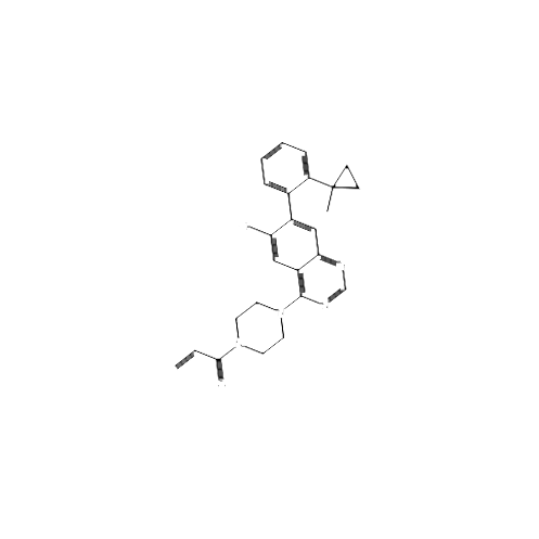 C=CC(=O)N1CCN(c2ncnc3cc(-c4ccccc4C4(C)CC4)c(Cl)cc23)CC1